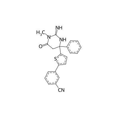 CN1C(=N)NC(c2ccccc2)(c2ccc(-c3cccc(C#N)c3)s2)CC1=O